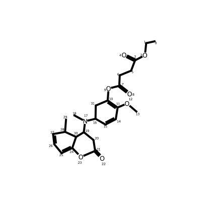 CCOC(=O)CCC(=O)OC1=C(OC)C=CC(N(C)C2CC(=O)OC3=CC=CC(C)C32)C1